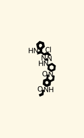 C=CC(=O)Nc1ccc2c(c1)CCN([C@H]1CCC[C@@H](Nc3ncc(Cl)c(-c4c[nH]c5ccccc45)n3)C1)C2=O